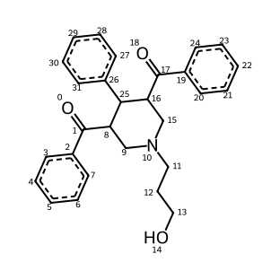 O=C(c1ccccc1)C1CN(CCCO)CC(C(=O)c2ccccc2)C1c1ccccc1